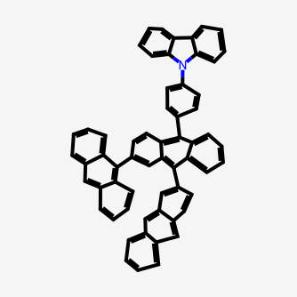 c1ccc2cc3cc(-c4c5ccccc5c(-c5ccc(-n6c7ccccc7c7ccccc76)cc5)c5ccc(-c6c7ccccc7cc7ccccc67)cc45)ccc3cc2c1